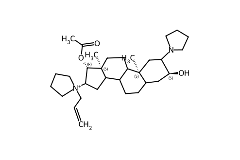 C=CC[N+]1(C2CC3C4CCC5C[C@H](O)C(N6CCCC6)C[C@]5(C)C4CC[C@]3(C)[C@H]2OC(C)=O)CCCC1